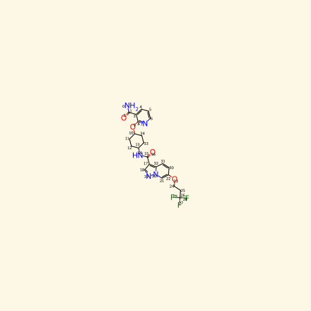 NC(=O)c1cccnc1OC1CCC(NC(=O)c2cnn3cc(OCCC(F)(F)F)ccc23)CC1